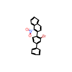 O=[N+]([O-])c1c(-c2ccc(-c3ccccc3)cc2Br)ccc2ccccc12